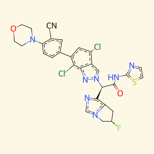 N#Cc1cc(-c2cc(Cl)c3cn([C@@H](C(=O)Nc4nccs4)c4ncn5c4C[C@@H](F)C5)nc3c2Cl)ccc1N1CCOCC1